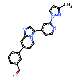 Cc1ccn(-c2cc(-c3cnc4cc(-c5cccc(C=O)c5)ccn34)ccn2)n1